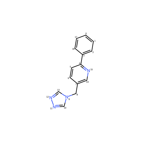 c1ccc(-c2ccc(Cn3cnnc3)cn2)cc1